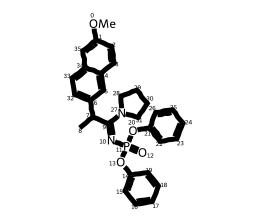 COc1ccc2cc(C(C)C(=NP(=O)(Oc3ccccc3)Oc3ccccc3)N3CCCC3)ccc2c1